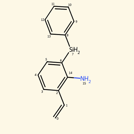 C=Cc1cccc([SiH2]c2ccccc2)c1N